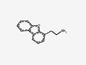 NCCc1cccc2c1oc1ccccc12